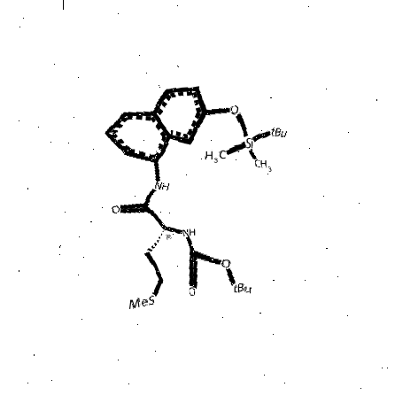 CSCC[C@@H](NC(=O)OC(C)(C)C)C(=O)Nc1cccc2ccc(O[Si](C)(C)C(C)(C)C)cc12